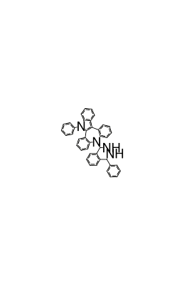 c1ccc(C2NNC(N3c4ccccc4-c4c(n(-c5ccccc5)c5ccccc45)-c4ccccc43)c3ccccc32)cc1